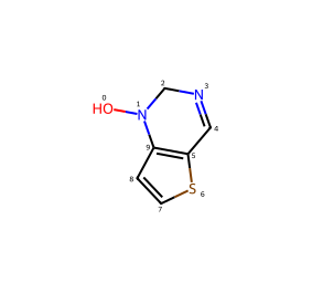 ON1CN=Cc2sccc21